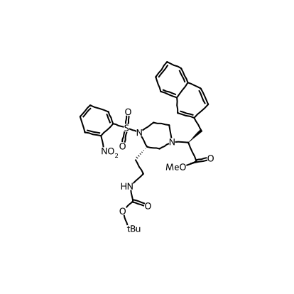 COC(=O)[C@H](Cc1ccc2ccccc2c1)N1CCN(S(=O)(=O)c2ccccc2[N+](=O)[O-])[C@@H](CCNC(=O)OC(C)(C)C)C1